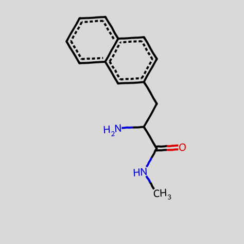 CNC(=O)C(N)Cc1ccc2ccccc2c1